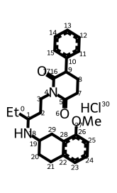 CCC(CCN1C(=O)CCC(c2ccccc2)C1=O)NC1CCc2cccc(OC)c2C1.Cl